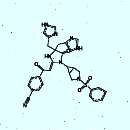 N#Cc1ccc(C(=O)C=C2NC(Cc3c[nH]cn3)(Cc3c[nH]cn3)C(=O)N2C2C3CN(S(=O)(=O)c4ccccc4)CC32)cc1